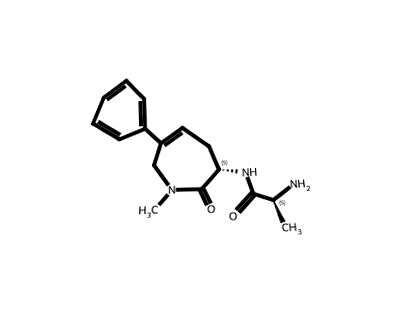 C[C@H](N)C(=O)N[C@H]1CC=C(c2ccccc2)CN(C)C1=O